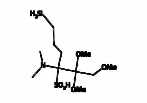 COCC(OC)(OC)C(CCC[SiH3])(N(C)C)S(=O)(=O)O